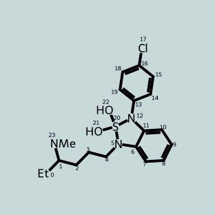 CCC(CCCN1c2ccccc2N(c2ccc(Cl)cc2)S1(O)O)NC